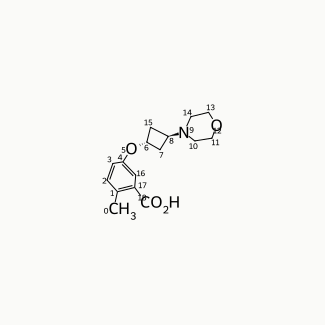 Cc1ccc(O[C@H]2C[C@H](N3CCOCC3)C2)cc1C(=O)O